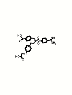 N=C(N)c1ccc(S(=O)(=O)N(CCc2ccc(OCC(=O)O)cc2)Cc2ccc(C(=O)O)cc2)cc1